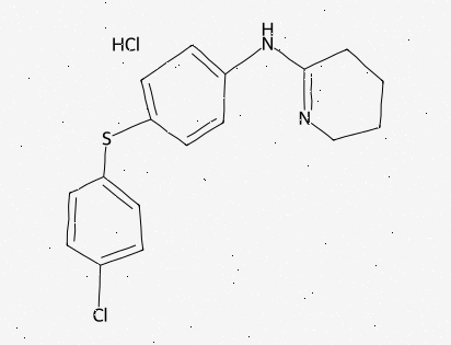 Cl.Clc1ccc(Sc2ccc(NC3=NCCCC3)cc2)cc1